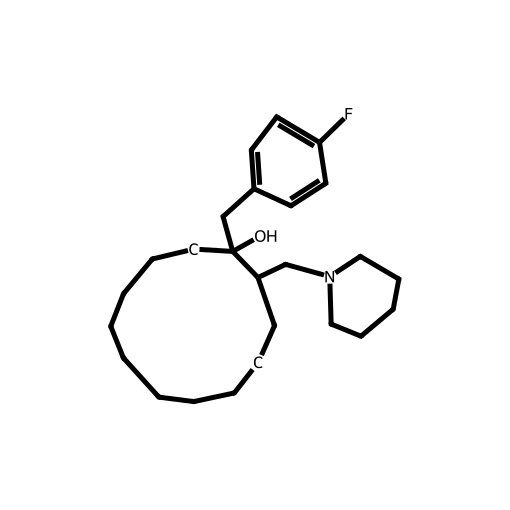 OC1(Cc2ccc(F)cc2)CCCCCCCCCCC1CN1CCCCC1